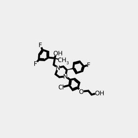 C[C@@](O)(CN1CCN(c2ccc(OCCO)cc2Cl)[C@H](c2ccc(F)cc2)C1)c1cc(F)cc(F)c1